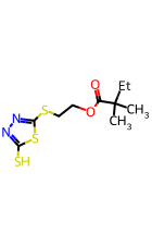 CCC(C)(C)C(=O)OCCSc1nnc(S)s1